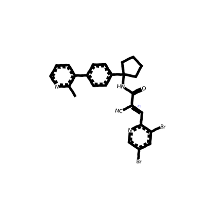 Cc1ncccc1-c1ccc(C2(NC(=O)/C(C#N)=C/c3ncc(Br)cc3Br)CCCC2)cc1